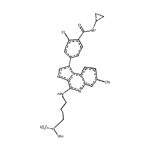 CC(C)(C)N(CCCNc1nc2cc(C#N)ccc2n2c(-c3ccc(C(=O)NC4CC4)c(Cl)c3)cnc12)C(=O)O